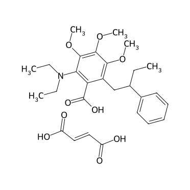 CCC(Cc1c(OC)c(OC)c(OC)c(N(CC)CC)c1C(=O)O)c1ccccc1.O=C(O)C=CC(=O)O